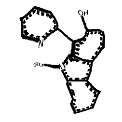 CC(C)(C)n1c2ccccc2c2ccc(O)c(-c3ccccn3)c21